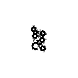 C=C1/C=C\C=C/CN(c2ccccc2)c2cc3ccc4c5ccccc5n(-c5cccc6c5C(C)(C)c5ccccc5-6)c4c3cc21